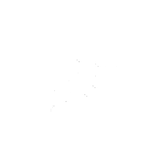 Cn1cnc2cc(C(F)(F)C(F)(F)F)nnc21